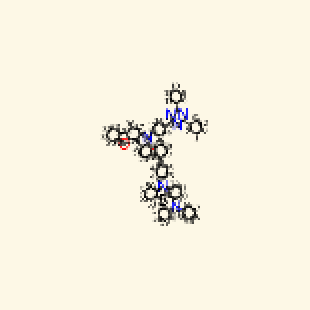 c1ccc(-c2nc(-c3ccccc3)nc(-c3ccc(-n4c5ccccc5c5c6oc7ccccc7c6ccc54)c(-c4ccc(-c5ccc(N6c7ccccc7B7c8ccccc8N(c8ccccc8)c8cccc6c87)cc5)cc4)c3)n2)cc1